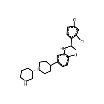 CC(Nc1cc(C2CCN([C@H]3CCCNC3)CC2)ccc1Cl)c1ccc(Cl)cc1Cl